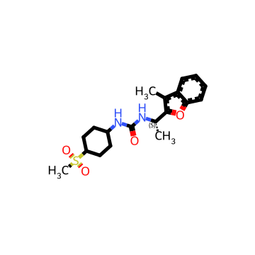 Cc1c([C@H](C)NC(=O)NC2CCC(S(C)(=O)=O)CC2)oc2ccccc12